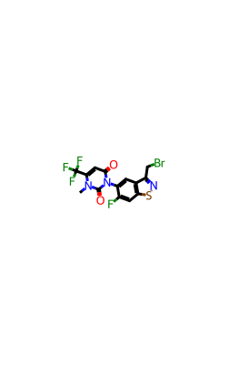 Cn1c(C(F)(F)F)cc(=O)n(-c2cc3c(CBr)nsc3cc2F)c1=O